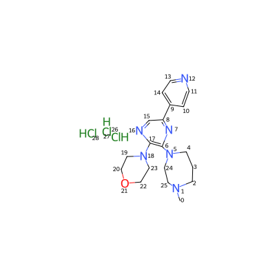 CN1CCCN(c2nc(-c3ccncc3)cnc2N2CCOCC2)CC1.Cl.Cl.Cl